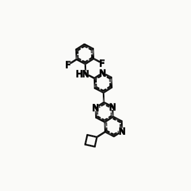 Fc1cccc(F)c1Nc1cc(-c2ncc3c(C4CCC4)cncc3n2)ccn1